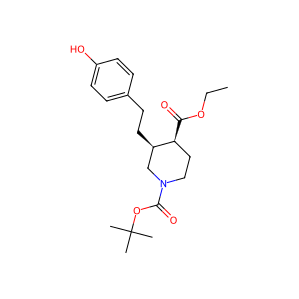 CCOC(=O)[C@H]1CCN(C(=O)OC(C)(C)C)C[C@H]1CCc1ccc(O)cc1